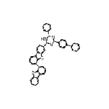 c1ccc(-c2ccc(C3=NC(c4ccccc4)NC(c4ccc5c(c4)sc4c(-c6cccc7c6sc6ccccc67)cccc45)=N3)cc2)cc1